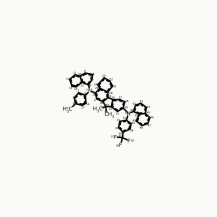 Cc1ccc(N(c2cccc3ccccc23)c2cc3c(c4ccccc24)-c2ccc(N(c4ccc(C(F)(F)F)cc4)c4cccc5ccccc45)cc2C3(C)C)cc1